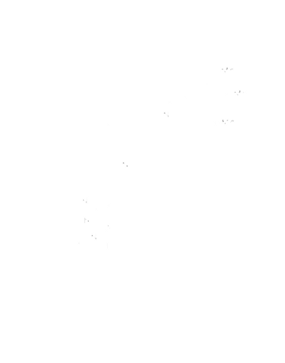 COc1cc(C(=O)N2CCC(CCN3CCC(C(=O)c4nc5ccccc5n4[N+](C)(C)C(C)=O)CC3)(c3ccccc3)C2)cc(OC)c1OC